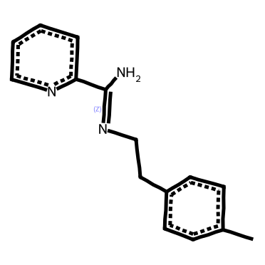 Cc1ccc(CC/N=C(\N)c2ccccn2)cc1